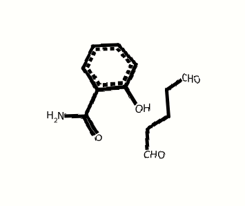 NC(=O)c1ccccc1O.O=CCCCC=O